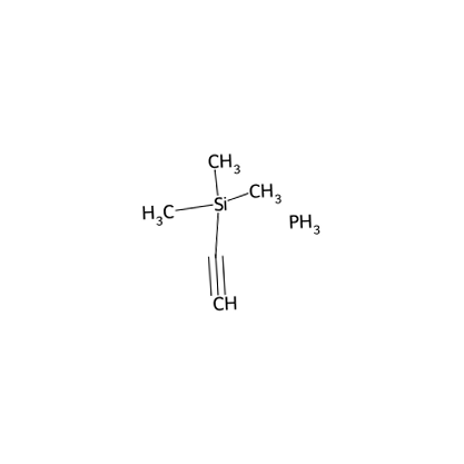 C#C[Si](C)(C)C.P